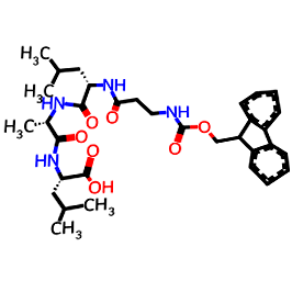 CC(C)C[C@H](NC(=O)[C@H](C)NC(=O)[C@H](CC(C)C)NC(=O)CCNC(=O)OCC1c2ccccc2-c2ccccc21)C(=O)O